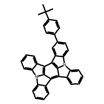 CC(C)(C)c1ccc(-c2ccc3c(c2)c2c4c5ccccc5n5c6ccccc6c(c6c7ccccc7n3c62)c45)cc1